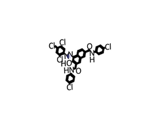 O=C(Nc1ccc(Cl)cc1)c1ccc2c(/N=N/c3cc(Cl)c(Cl)cc3Cl)c(O)c(C(=O)Nc3ccc(Cl)cc3)cc2c1